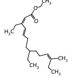 CCOC(=O)C=C(C=CCCC(CC)CCC=C(C)CC)CC